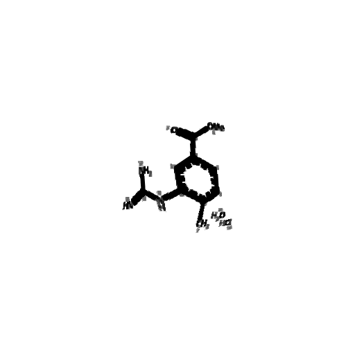 COC(=O)c1ccc(C)c(NC(=N)N)c1.Cl.O